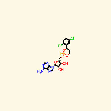 Nc1ncnc2c1ncn2[C@@H]1O[C@H](COP2(=S)OCCC(c3cc(Cl)ccc3Cl)O2)C(O)[C@@H]1O